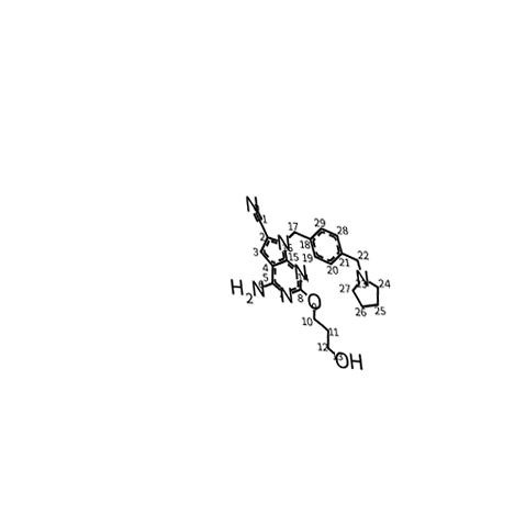 N#Cc1cc2c(N)nc(OCCCO)nc2n1Cc1ccc(CN2CCCC2)cc1